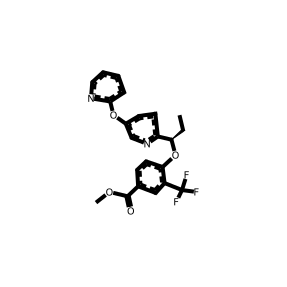 CC[C@@H](Oc1ccc(C(=O)OC)cc1C(F)(F)F)c1ccc(Oc2ccccn2)cn1